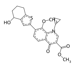 COC(=O)c1cn(C2CC2)c2c(OC)c(-c3cc4c(s3)CCCC4O)ccc2c1=O